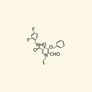 C=CCn1cc(C(=O)NCc2ccc(F)cc2F)c(=O)c(OCc2ccccc2)c1C=O